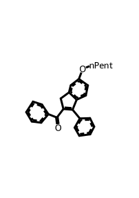 CCCCCOc1ccc2c(c1)CC(C(=O)c1ccccc1)=C2c1ccccc1